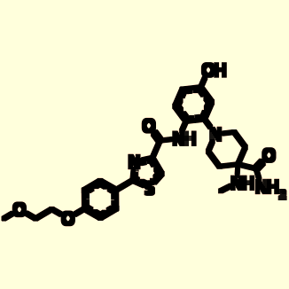 CNC1(C(N)=O)CCN(c2cc(O)ccc2NC(=O)c2csc(-c3ccc(OCCOC)cc3)n2)CC1